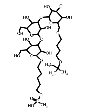 CC(C)(C)OCCCCOCC1OC(OC2C(O)C(CO)OC(OC3C(O)C(CO)OC(OCCCCCOP(C)(=O)O)C3O)C2O)C(O)C(O)C1O